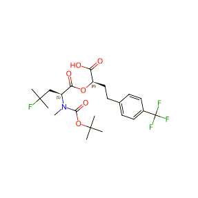 CN(C(=O)OC(C)(C)C)[C@@H](CC(C)(C)F)C(=O)O[C@H](CCc1ccc(C(F)(F)F)cc1)C(=O)O